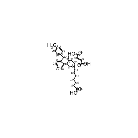 Cc1ccc(C(OC2CCN(CCCCCCC(=O)O)CC2)c2ccccc2)cc1.O=C(O)C=CC(=O)O